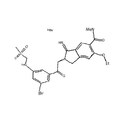 Br.CCOc1cc2c(cc1C(=O)NC)C(=N)N(CC(=O)c1cc(NCS(C)(=O)=O)cc(C(C)(C)C)c1)C2